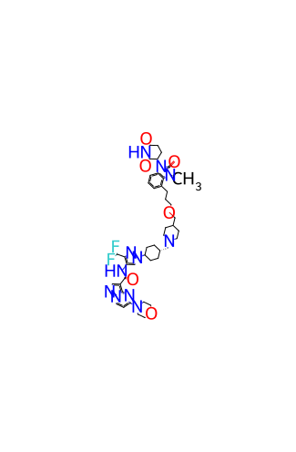 Cn1c(=O)n(C2CCC(=O)NC2=O)c2cccc(CCCOCC3CCN(C[C@H]4CC[C@H](n5cc(NC(=O)c6cnn7ccc(N8CCOCC8)nc67)c(C(F)F)n5)CC4)CC3)c21